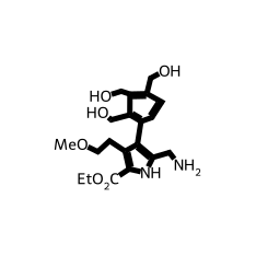 CCOC(=O)c1[nH]c(CN)c(-c2ccc(CO)c(CO)c2CO)c1CCOC